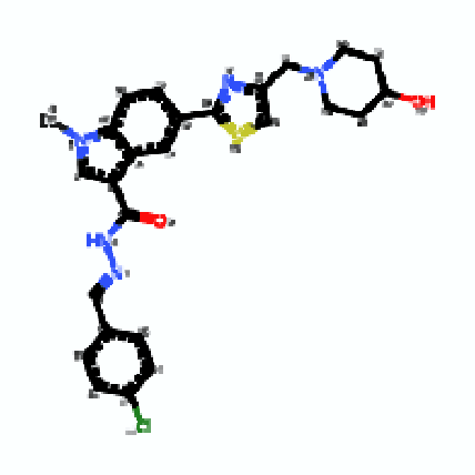 CCn1cc(C(=O)NN=Cc2ccc(Cl)cc2)c2cc(-c3nc(CN4CCC(O)CC4)cs3)ccc21